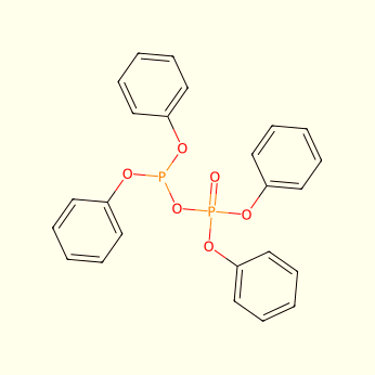 O=P(Oc1ccccc1)(Oc1ccccc1)OP(Oc1ccccc1)Oc1ccccc1